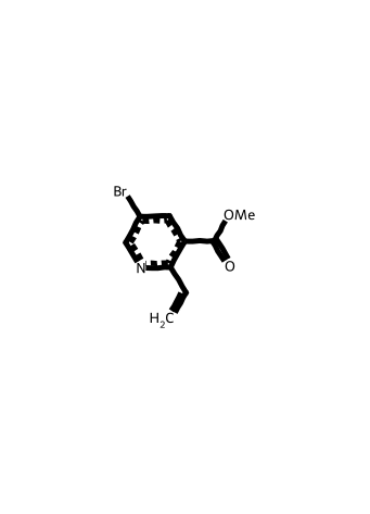 C=Cc1ncc(Br)cc1C(=O)OC